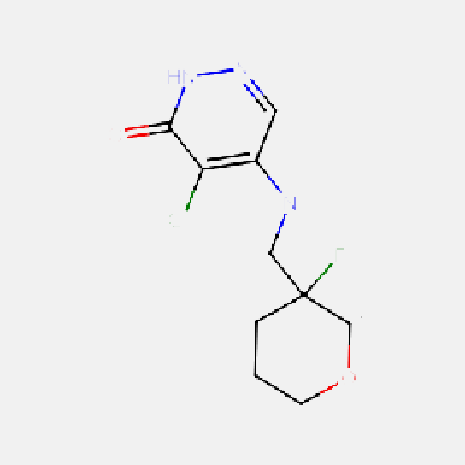 O=c1[nH]ncc(NCC2(F)CCCOC2)c1Cl